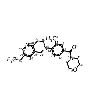 Cc1cc(C(=O)N2CCOCC2)cnc1N1CCc2ncc(CC(F)(F)F)cc2C1